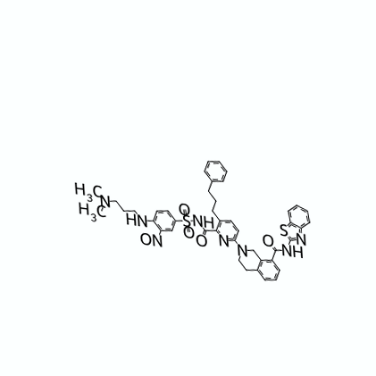 CN(C)CCCNc1ccc(S(=O)(=O)NC(=O)c2nc(N3CCc4cccc(C(=O)Nc5nc6ccccc6s5)c4C3)ccc2CCCc2ccccc2)cc1N=O